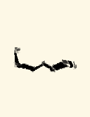 C=NS/C=N\CC